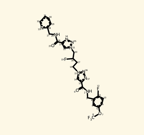 O=C(NCc1cc(OC(F)(F)F)ccc1F)c1cn(CCC(F)Cn2cc(C(=O)NCc3ccccn3)nn2)nn1